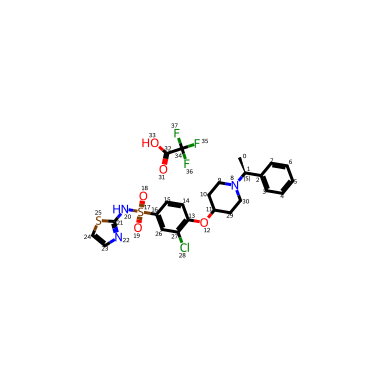 C[C@@H](c1ccccc1)N1CCC(Oc2ccc(S(=O)(=O)Nc3nccs3)cc2Cl)CC1.O=C(O)C(F)(F)F